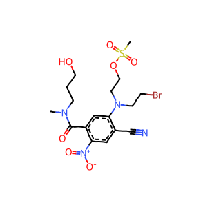 CN(CCCO)C(=O)c1cc(N(CCBr)CCOS(C)(=O)=O)c(C#N)cc1[N+](=O)[O-]